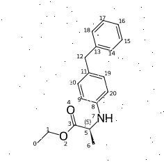 CCOC(=O)[C@H](C)Nc1ccc(Cc2ccccc2)cc1